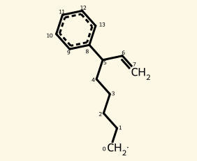 [CH2]CCCCC(C=C)c1ccccc1